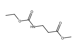 CCOC(=O)NCCC(=O)OC